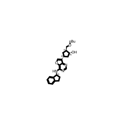 CCCCOC[C@@H]1C[C@@H](c2coc3c(N[C@H]4CCc5ccccc54)ncnc23)C[C@H]1O